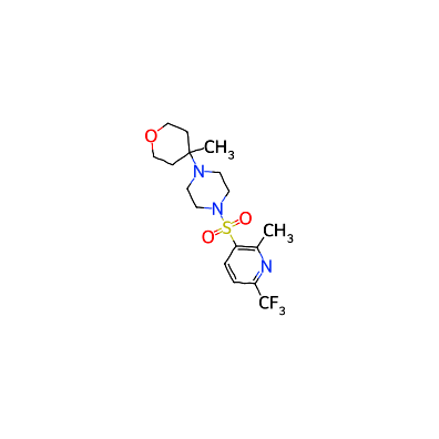 Cc1nc(C(F)(F)F)ccc1S(=O)(=O)N1CCN(C2(C)CCOCC2)CC1